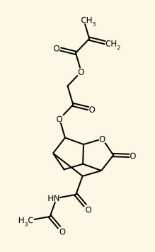 C=C(C)C(=O)OCC(=O)OC1C2CC3C1OC(=O)C3C2C(=O)NC(C)=O